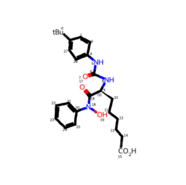 CC(C)(C)c1ccc(NC(=O)N[C@@H](CCCCCC(=O)O)C(=O)N(O)c2cc[c]cc2)cc1